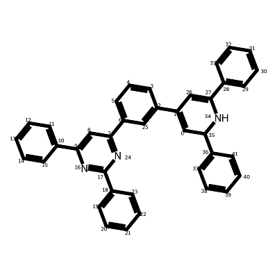 C1=C(c2cccc(-c3cc(-c4ccccc4)nc(-c4ccccc4)n3)c2)C=C(c2ccccc2)NC1c1ccccc1